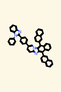 c1ccc(-n2c(-c3ccc(-c4ccc5nc6c(-c7ccc8ccccc8c7)c7ccccc7c(-c7ccc8ccccc8c7)c6n5c4)cc3)nc3ccccc32)cc1